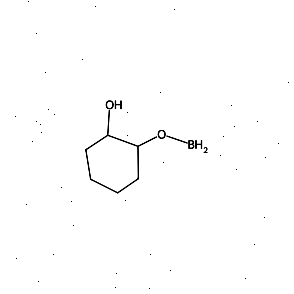 BOC1CCCCC1O